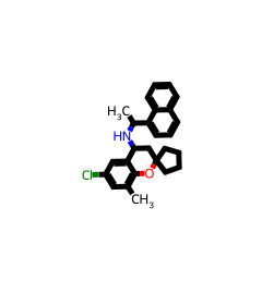 Cc1cc(Cl)cc2c1OC1(CCCC1)CC2NC(C)c1cccc2ccccc12